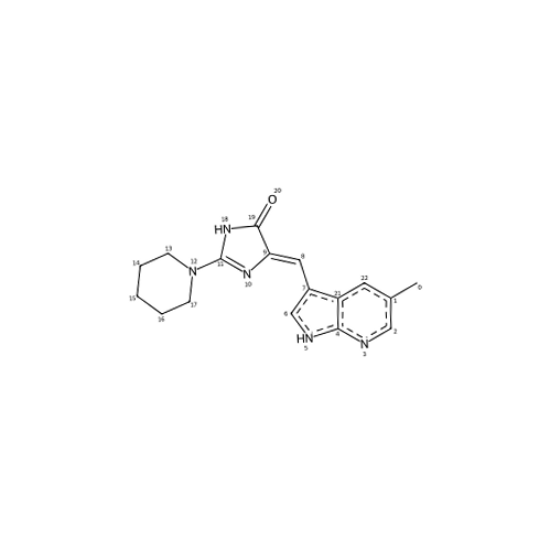 Cc1cnc2[nH]cc(C=C3N=C(N4CCCCC4)NC3=O)c2c1